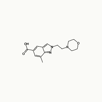 Cc1cc(C(=O)O)cc2cn(CCN3CCOCC3)nc12